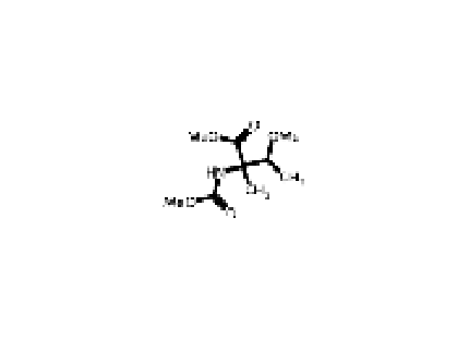 COC(=O)NC(C)(C(=O)OC)C(C)OC